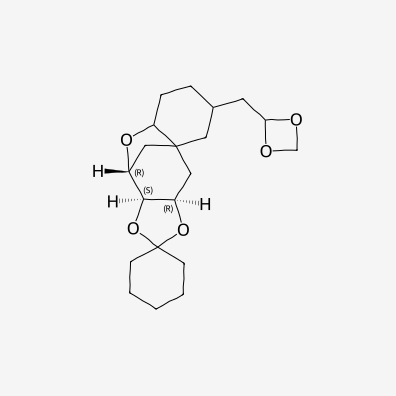 C1CCC2(CC1)O[C@H]1[C@H]3CC4(CC(CC5OCO5)CCC4O3)C[C@H]1O2